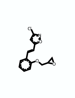 Clc1cc(/C=C/c2ccccc2OCC2CO2)on1